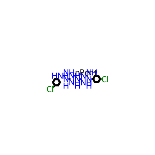 CCCCCC(NC(=N)NC(=N)Nc1ccc(Cl)cc1)NC(=N)NC(=N)Nc1ccc(Cl)cc1